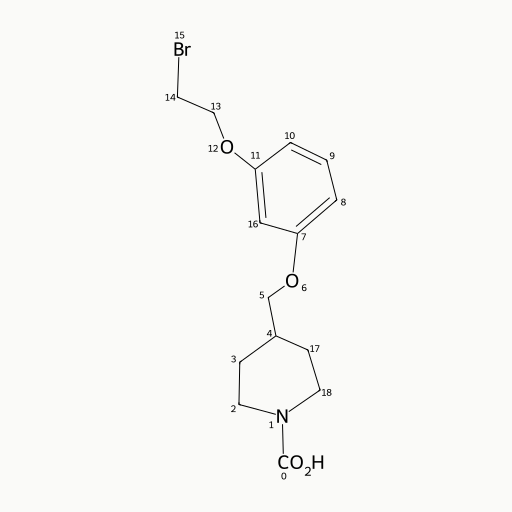 O=C(O)N1CCC(COc2cccc(OCCBr)c2)CC1